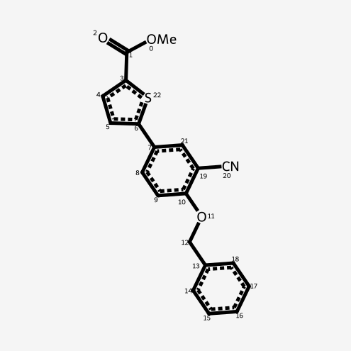 COC(=O)c1ccc(-c2ccc(OCc3ccccc3)c(C#N)c2)s1